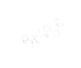 CO[C@@H]1C[C@H](C(=O)Nc2cc(C(CCC3CC3)(N[S+]([O-])C(C)(C)C)c3ccccc3)ccc2F)N(C(=O)Nc2ccc(Cl)cn2)C1